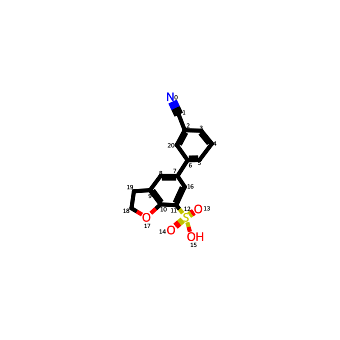 N#Cc1cccc(-c2cc3c(c(S(=O)(=O)O)c2)OCC3)c1